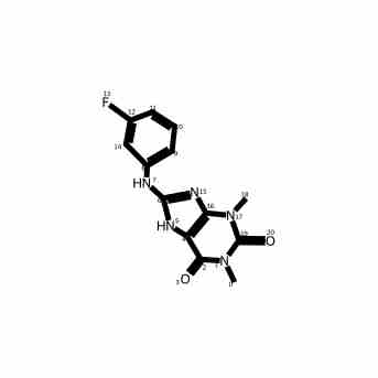 Cn1c(=O)c2[nH]c(Nc3cccc(F)c3)nc2n(C)c1=O